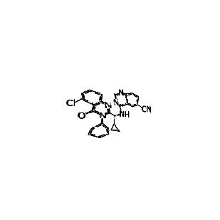 N#Cc1ccc2ncnc(N[C@H](c3nc4cccc(Cl)c4c(=O)n3-c3ccccc3)C3CC3)c2c1